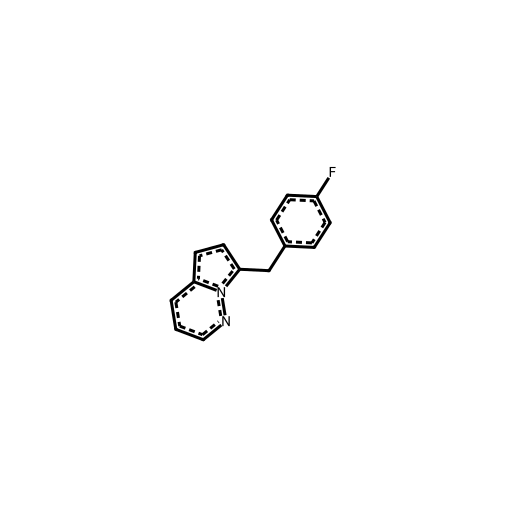 Fc1ccc(Cc2ccc3cccnn23)cc1